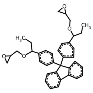 CCC(OCC1CO1)c1ccc(C2(c3ccc(C(CC)OCC4CO4)cc3)c3ccccc3-c3ccccc32)cc1